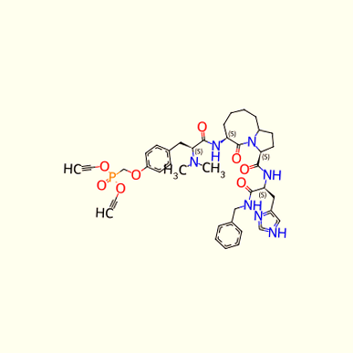 C#COP(=O)(COc1ccc(C[C@@H](C(=O)N[C@H]2CCCCC3CC[C@@H](C(=O)N[C@@H](Cc4c[nH]cn4)C(=O)NCc4ccccc4)N3C2=O)N(C)C)cc1)OC#C